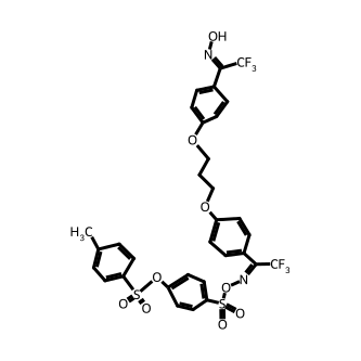 Cc1ccc(S(=O)(=O)Oc2ccc(S(=O)(=O)ON=C(c3ccc(OCCCOc4ccc(C(=NO)C(F)(F)F)cc4)cc3)C(F)(F)F)cc2)cc1